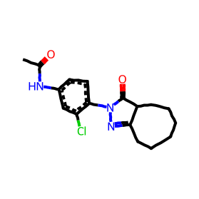 CC(=O)Nc1ccc(N2N=C3CCCCCCC3C2=O)c(Cl)c1